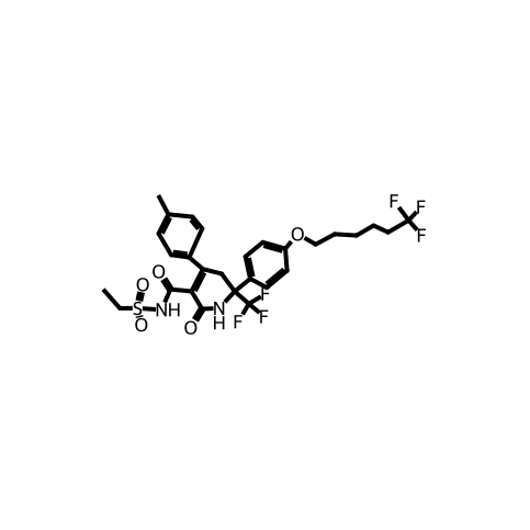 CCS(=O)(=O)NC(=O)C1=C(c2ccc(C)cc2)CC(c2ccc(OCCCCCC(F)(F)F)cc2)(C(F)(F)F)NC1=O